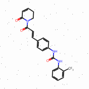 O=C(Nc1ccc(C=CC(=O)N2CCC=CC2=O)cc1)Nc1ccccc1C(F)(F)F